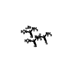 NC(N)=S.NC(N)=S.NC(N)=S.[Zn]